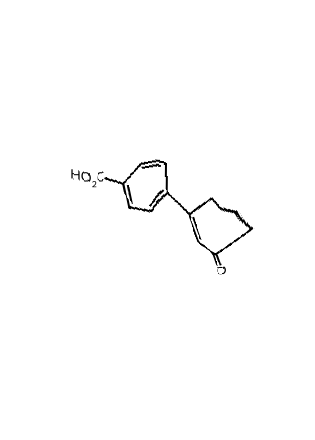 O=C1C=C(c2ccc(C(=O)O)cc2)CCC1